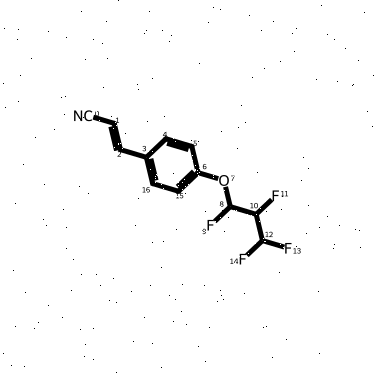 N#CC=Cc1ccc(OC(F)C(F)C(F)F)cc1